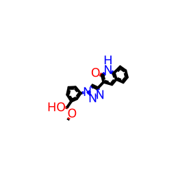 COC(O)c1cccc(-n2cc(-c3cc4ccccc4[nH]c3=O)nn2)c1